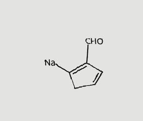 O=CC1=[C]([Na])CC=C1